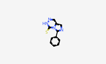 S=c1[nH]ncc2cnc(-c3ccccc3)n12